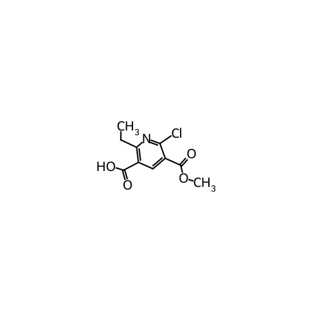 CCc1nc(Cl)c(C(=O)OC)cc1C(=O)O